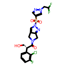 O=C([C@@H](CO)c1cccc(F)c1Cl)N1Cc2cn(S(=O)(=O)c3cnn(CC(F)F)c3)nc2C1